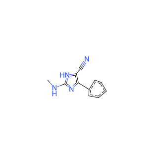 CNc1nc(-c2ccccc2)c(C#N)[nH]1